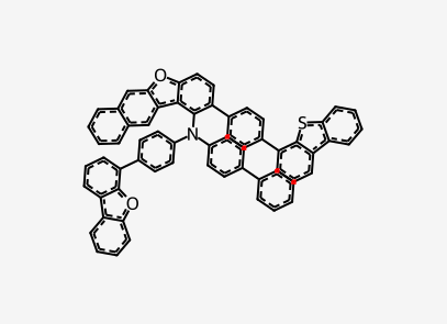 c1ccc(-c2ccc(N(c3ccc(-c4cccc5c4oc4ccccc45)cc3)c3c(-c4ccc(-c5cccc6c5sc5ccccc56)cc4)ccc4oc5cc6ccccc6cc5c34)cc2)cc1